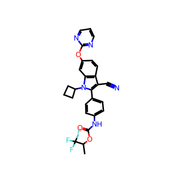 CC(OC(=O)Nc1ccc(-c2c(C#N)c3ccc(Oc4ncccn4)cc3n2C2CCC2)cc1)C(F)(F)F